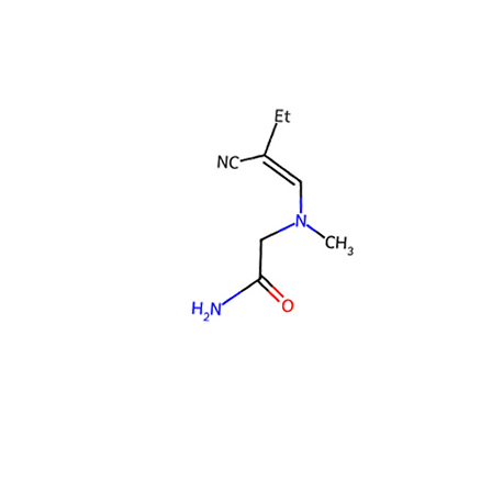 CCC(C#N)=CN(C)CC(N)=O